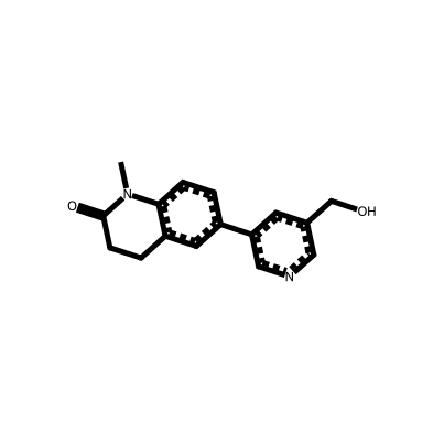 CN1C(=O)CCc2cc(-c3cncc(CO)c3)ccc21